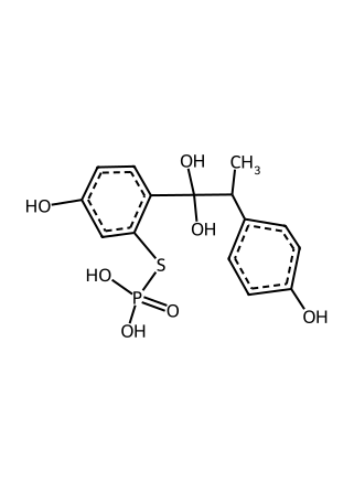 CC(c1ccc(O)cc1)C(O)(O)c1ccc(O)cc1SP(=O)(O)O